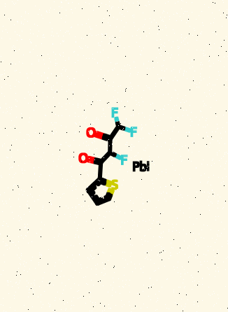 O=C(c1cccs1)C(F)C(=O)C(F)F.[Pb]